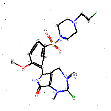 CCCN1CC2=C(C(=O)NC2c2cc(S(=O)(=O)N3CCN(CCF)CC3)ccc2OCC)N(C)C1Br